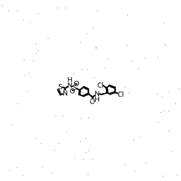 O=C(NCc1cc(Cl)ccc1Cl)c1ccc(S(=O)(=O)Nc2nccs2)cc1